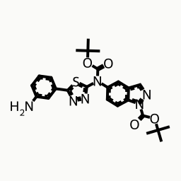 CC(C)(C)OC(=O)N(c1ccc2c(cnn2C(=O)OC(C)(C)C)c1)c1nnc(-c2cccc(N)c2)s1